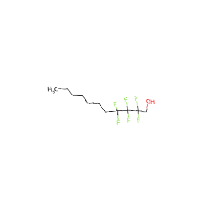 CCCCCCCC(F)(F)C(F)(F)C(F)(F)CO